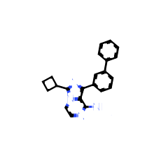 Nc1nccn2c(C3CCC3)nc(-c3cccc(-c4ccccc4)c3)c12